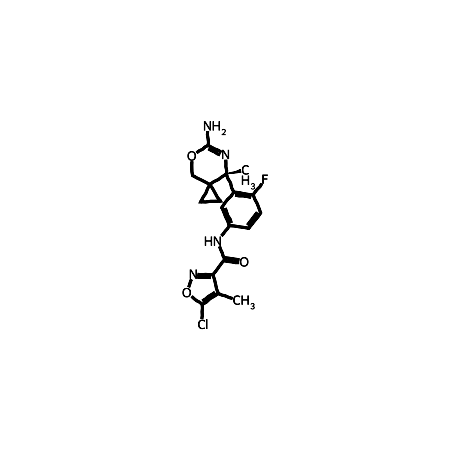 Cc1c(C(=O)Nc2ccc(F)c([C@@]3(C)N=C(N)OCC34CC4)c2)noc1Cl